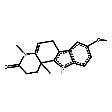 COc1ccc2[nH]c3c(c2c1)CC=C1N(C)C(=O)CCC13C